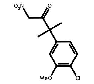 COc1cc(C(C)(C)C(=O)C[N+](=O)[O-])ccc1Cl